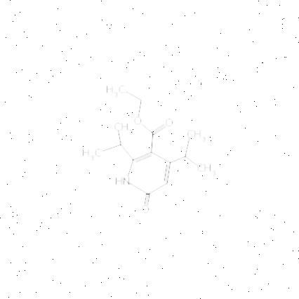 CCOC(=O)c1c(C(C)C)cc(=O)[nH]c1C(C)C